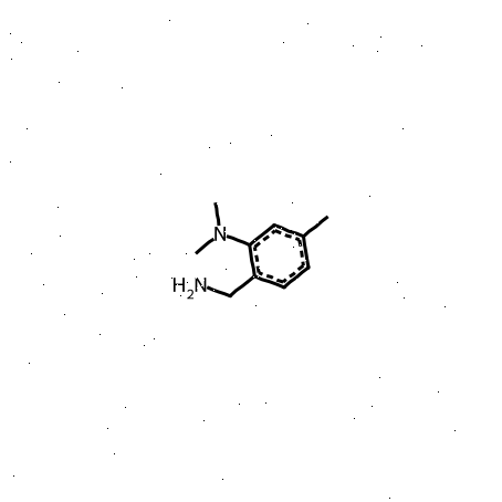 Cc1ccc(CN)c(N(C)C)c1